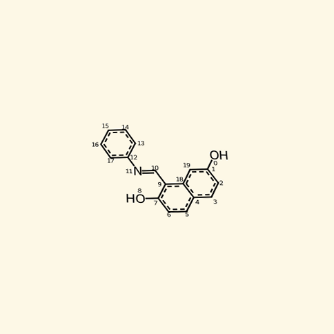 Oc1ccc2ccc(O)c(C=Nc3ccccc3)c2c1